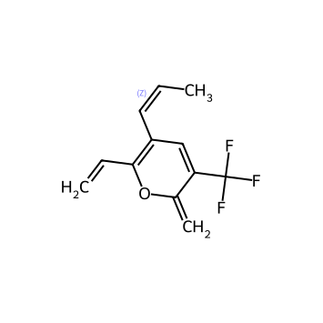 C=CC1=C(/C=C\C)C=C(C(F)(F)F)C(=C)O1